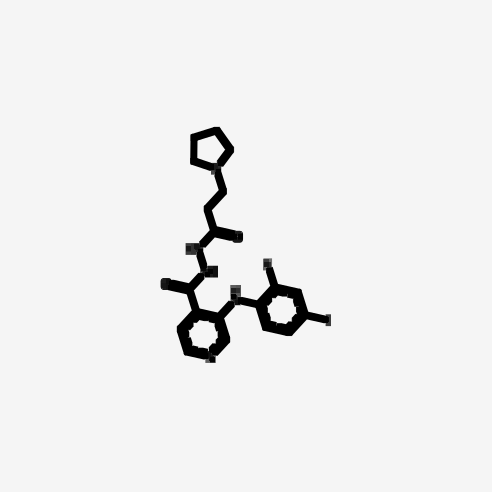 O=C(CCN1CCCC1)NNC(=O)c1ccncc1Nc1ccc(I)cc1F